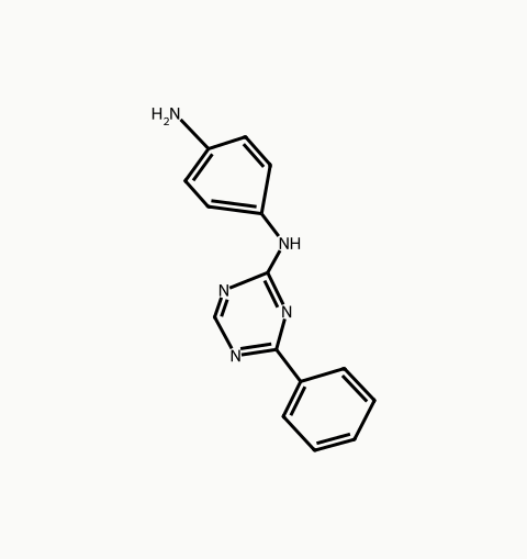 Nc1ccc(Nc2ncnc(-c3ccccc3)n2)cc1